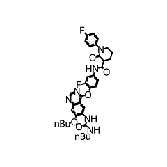 CCCCNC(=O)Nc1cc2c(Oc3ccc(NC(=O)C4CCCN(c5ccc(F)cc5)C4=O)cc3F)ncnc2cc1OCCCC